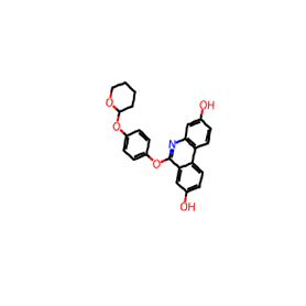 Oc1ccc2c(c1)nc(Oc1ccc(OC3CCCCO3)cc1)c1cc(O)ccc12